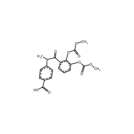 COC(=O)Oc1cccc(C(=O)N(C)c2ccc(C(=O)O)cc2)c1OC(=O)OC